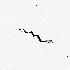 CO/C=C/CCCN